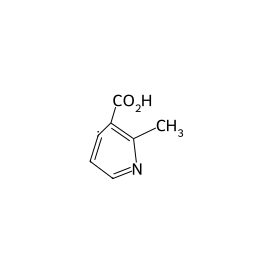 Cc1ncc[c]c1C(=O)O